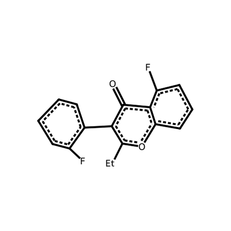 CCc1oc2cccc(F)c2c(=O)c1-c1ccccc1F